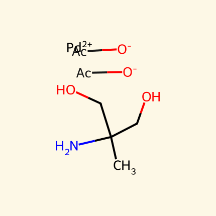 CC(=O)[O-].CC(=O)[O-].CC(N)(CO)CO.[Pd+2]